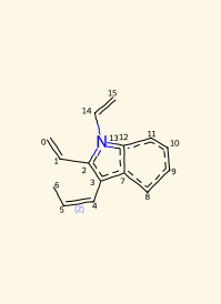 C=Cc1c(/C=C\C)c2ccccc2n1C=C